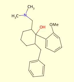 COc1ccccc1C1(O)C(Cc2ccccc2)CCCC1CN(C)C